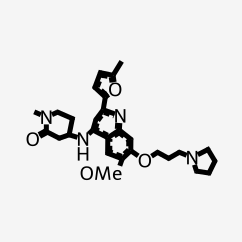 COc1cc2c(NC3CCN(C)C(=O)C3)cc(-c3ccc(C)o3)nc2cc1OCCCN1CCCC1